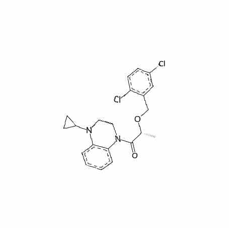 C[C@@H](OCc1cc(Cl)ccc1Cl)C(=O)N1CCN(C2CC2)c2ccccc21